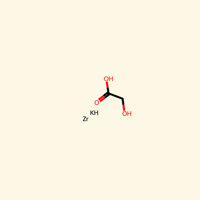 O=C(O)CO.[KH].[Zr]